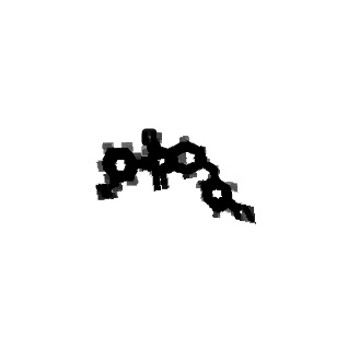 N#Cc1cccc(CN2CCc3c([nH]n(-c4cccc(C#N)c4)c3=O)C2)c1